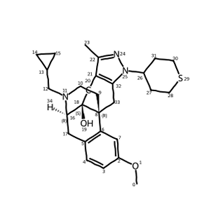 COc1ccc2c(c1)[C@]13CCN(CC4CC4)[C@H](C2)[C@]1(O)Cc1c(C)nn(C2CCSCC2)c1C3